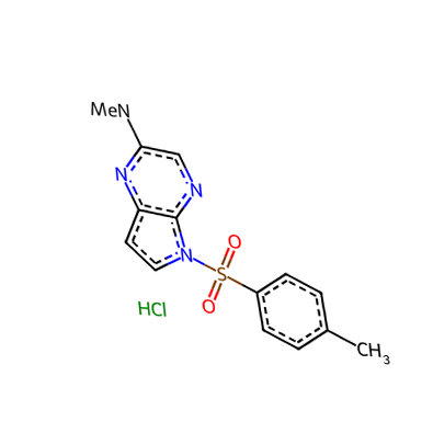 CNc1cnc2c(ccn2S(=O)(=O)c2ccc(C)cc2)n1.Cl